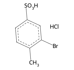 Cc1ccc(S(=O)(=O)O)cc1Br.Cl